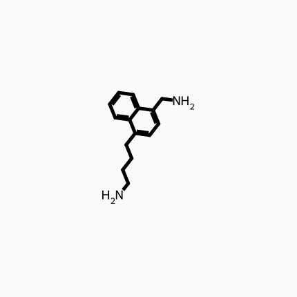 NCCCCc1ccc(CN)c2ccccc12